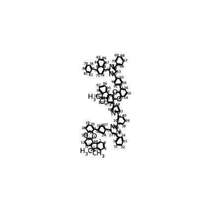 CC1(C)c2ccccc2-c2c1ccc1c2Oc2c(cccc2-c2ccc(-c3cc(-c4ccccc4)nc(-c4cccc(-c5ccc(-c6cc7c(c8c6Oc6cccc(-c9ccc(-c%10cc(-c%11ccccc%11)nc(-c%11ccc(-c%12ccccc%12)c%12ccccc%11%12)n%10)cc9)c6O8)-c6ccccc6C7(C)C)cn5)c4)n3)cc2)O1